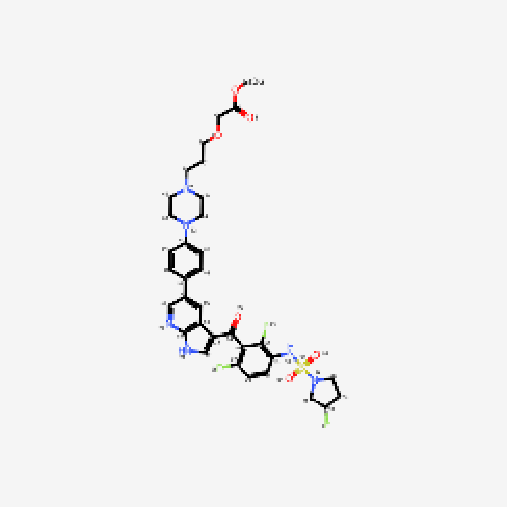 CC(C)(C)OC(=O)COCCCN1CCN(c2ccc(-c3cnc4[nH]cc(C(=O)c5c(F)ccc(NS(=O)(=O)N6CC[C@@H](F)C6)c5F)c4c3)cc2)CC1